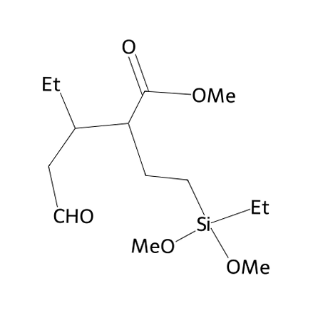 CCC(CC=O)C(CC[Si](CC)(OC)OC)C(=O)OC